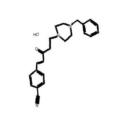 Cl.N#Cc1ccc(C=CC(=O)CCN2CCN(Cc3ccccc3)CC2)cc1